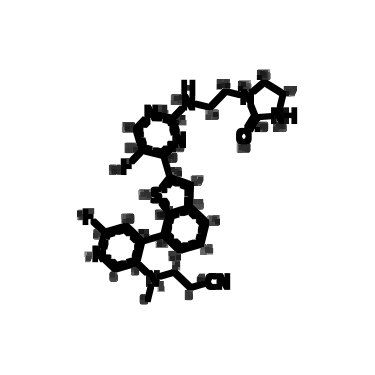 CN(CCC#N)c1cnc(F)cc1-c1cccc2cc(-c3nc(NCCN4CCNC4=O)ncc3F)sc12